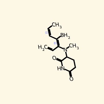 BC(/C=C\C)=C(/C=C)N(C)C1CCC(=O)NC1=O